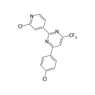 FC(F)(F)c1cc(-c2ccc(Cl)cc2)nc(-c2ccnc(Cl)c2)n1